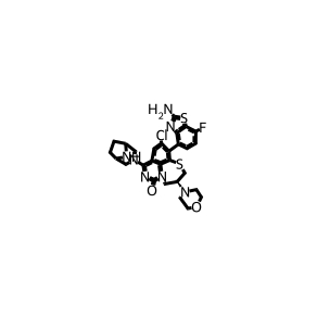 Nc1nc2c(-c3c(Cl)cc4c(N5CC6CCC(C5)N6)nc(=O)n5c4c3SC[C@@H](N3CCOCC3)C5)ccc(F)c2s1